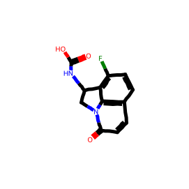 O=C(O)NC1Cn2c(=O)ccc3ccc(F)c1c32